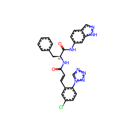 O=C(C=Cc1cc(Cl)ccc1-n1cnnn1)N[C@@H](Cc1ccccc1)C(=O)Nc1ccc2cn[nH]c2c1